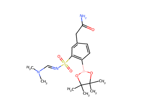 CN(C)C=NS(=O)(=O)c1cc(CC(N)=O)ccc1B1OC(C)(C)C(C)(C)O1